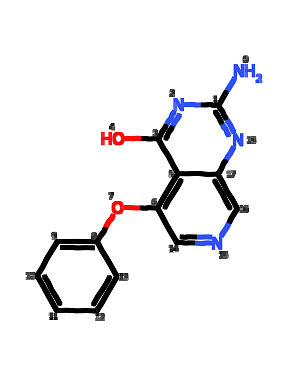 Nc1nc(O)c2c(Oc3ccccc3)cncc2n1